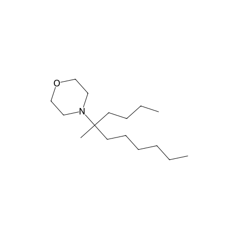 CCCCCCC(C)(CCCC)N1CCOCC1